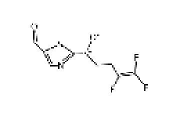 O=Cc1cnc([S+]([O-])CCC(F)=C(F)F)s1